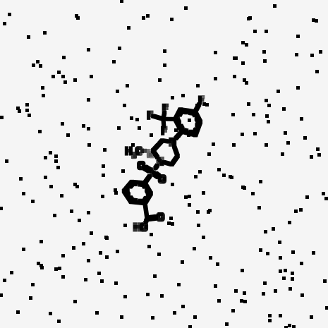 C[C@@H]1CN(c2ccc(F)cc2C(F)(F)F)CCN1S(=O)(=O)c1cccc(C(=O)O)c1